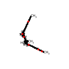 CCCCCCCCCCCCCCCCCCOC(=O)C1CC(CCCCCCC(CCC)C2(C(O)=S)CC(C(=O)OCCCCCCCCCCCCCCCCCC)C2=C=S)(C(O)=S)C1=C=S